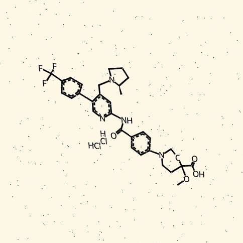 COC1(C(=O)O)CCN(c2ccc(C(=O)Nc3cc(CN4CCC[C@H]4C)c(-c4ccc(C(F)(F)F)cc4)cn3)cc2)CC1.Cl.Cl